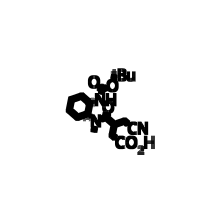 CN(C(=O)C(CC#N)CC(=O)O)[C@H]1CCCC[C@@H]1NC(=O)OC(C)(C)C